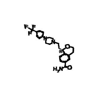 NC(=O)c1ccc2c(c1)CCO[C@H]2CCN1CCN(c2ccc(C(F)(F)F)cc2)CC1